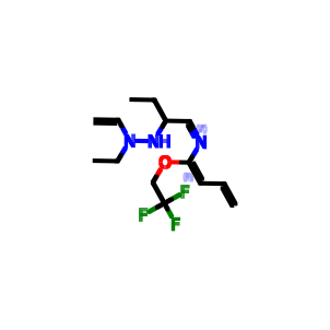 C=C/C=C(\N=C/C(CC)NN(C=C)CC)OCC(F)(F)F